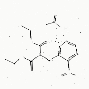 CC(N)=O.CCOC(=O)C(Cc1ccccc1[N+](=O)[O-])C(=O)OCC